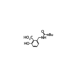 CCCCC(=O)NCc1cccc(O)c1C(=O)O